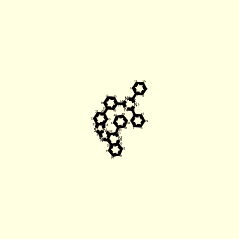 c1ccc(-c2nc(-c3ccccc3)nc(-c3cccc(-c4ccc5sc6nc7c8ccccc8nc(-c8ccccc8)c7n6c5c4)c3)n2)cc1